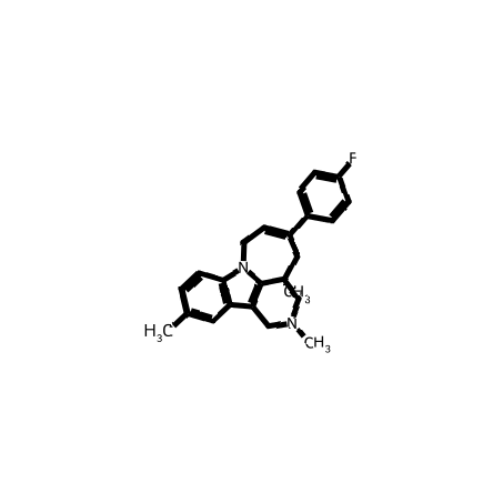 Cc1ccc2c(c1)c1c3n2CC=C(c2ccc(F)cc2)CC3(C)CN(C)C1